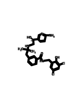 CC(C)(Cc1cccc(C(=O)NCc2cc(Cl)cc(Cl)c2O)c1)NC[C@H](O)c1ccc(N)nc1